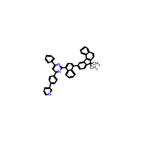 CC1(C)c2ccc(-c3ccc(-c4nc(-c5ccccc5)cc(-c5ccc(-c6cccnc6)cc5)n4)c4ccccc34)cc2-c2c1ccc1ccccc21